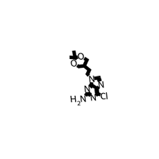 CC1(C)OCC(CCn2cnc3c(Cl)nc(N)nc32)CO1